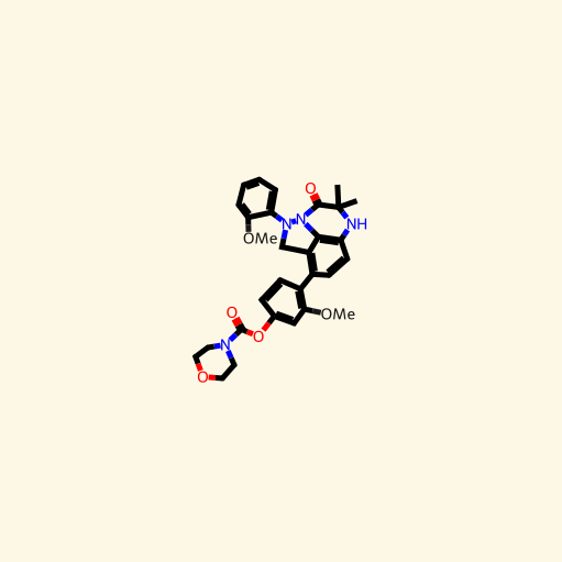 COc1cc(OC(=O)N2CCOCC2)ccc1-c1ccc2c3c1CN(c1ccccc1OC)N3C(=O)C(C)(C)N2